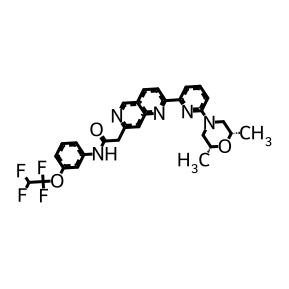 C[C@@H]1CN(c2cccc(-c3ccc4cnc(CC(=O)Nc5cccc(OC(F)(F)C(F)F)c5)cc4n3)n2)C[C@H](C)O1